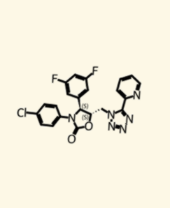 O=C1O[C@@H](Cn2nnnc2-c2ccccn2)[C@H](c2cc(F)cc(F)c2)N1c1ccc(Cl)cc1